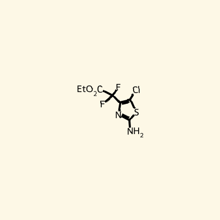 CCOC(=O)C(F)(F)c1nc(N)sc1Cl